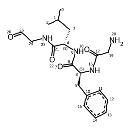 CC(C)C[C@H](NC(=O)[C@H](Cc1ccccc1)NC(=O)CN)C(=O)NC[C]=O